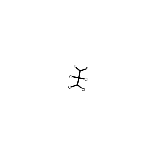 FC(F)C(Cl)(Cl)[C](Cl)Cl